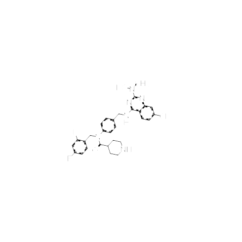 Cc1ccc2c(NCc3ccc(N(Cc4ccc(F)cc4F)C(=O)C4CCNCC4)cc3)nc(N(C)C)nc2c1